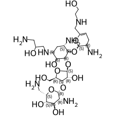 NCC(O)CN[C@@H]1C[C@H](N)[C@@H](O[C@H]2OC(CNCCO)=CC[C@H]2N)[C@H](O[C@@H]2O[C@H](CO)[C@@H](O[C@H]3O[C@@H](CN)[C@@H](O)[C@H](O)[C@H]3N)[C@H]2O)[C@H]1O